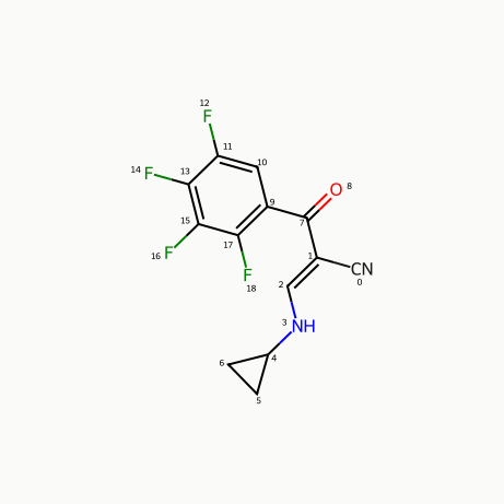 N#CC(=CNC1CC1)C(=O)c1cc(F)c(F)c(F)c1F